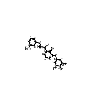 O=C(NCc1cccc(Br)c1)c1cccn(Cc2cc(F)c(F)c(F)c2)c1=O